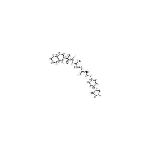 CN(CC(=O)NCC(=O)NCCc1ccc(C2=NCCN2)cc1)S(=O)(=O)c1ccc2ccccc2c1